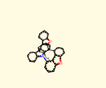 CC1C=Cc2c(oc3ccccc23)C1c1cccc2oc3cccc(-n4c5ccccc5c5ccccc54)c3c12